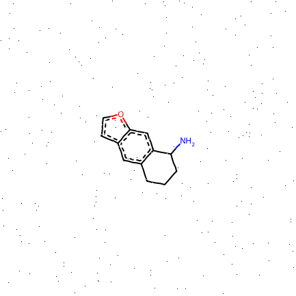 NC1CCCc2cc3ccoc3cc21